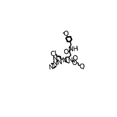 COCCOC(=O)N1CCN(c2cc(Cl)nc(-n3ccnc3)n2)CC1CC(=O)NCCc1ccc(OC)cc1